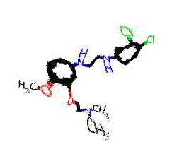 COc1ccc(NCCNc2ccc(Cl)c(Cl)c2)cc1OCCN(C)C